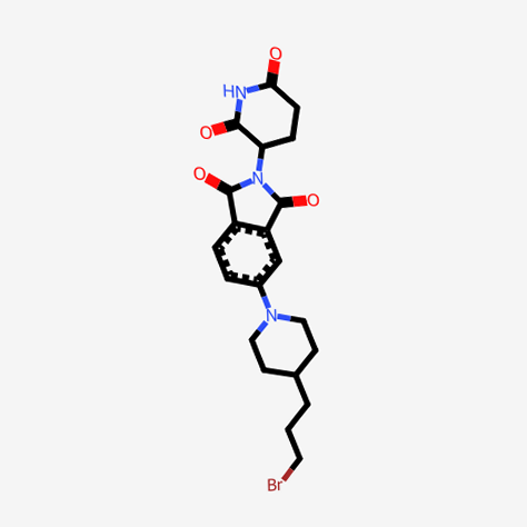 O=C1CCC(N2C(=O)c3ccc(N4CCC(CCCBr)CC4)cc3C2=O)C(=O)N1